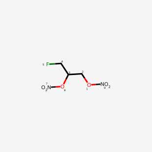 O=[N+]([O-])OCC(CF)O[N+](=O)[O-]